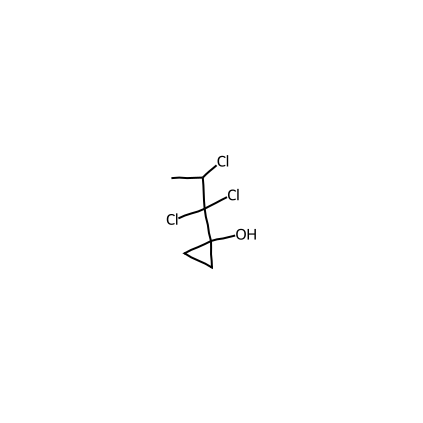 CC(Cl)C(Cl)(Cl)C1(O)CC1